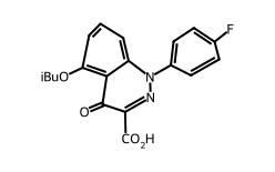 CC(C)COc1cccc2c1c(=O)c(C(=O)O)nn2-c1ccc(F)cc1